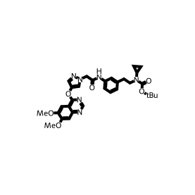 COc1cc2ncnc(Oc3cnn(CC(=O)Nc4cccc(CCN(C(=O)OC(C)(C)C)C5CC5)c4)c3)c2cc1OC